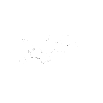 CCOC(=O)[C@@]12CC1[C@@H](n1cnc3c(N)nc(SC)nc31)[C@H](O)[C@@H]2O